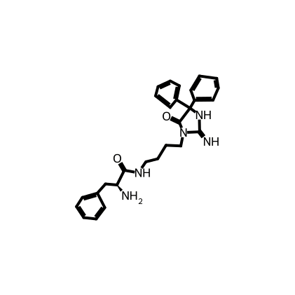 N=C1NC(c2ccccc2)(c2ccccc2)C(=O)N1CCCCNC(=O)[C@@H](N)Cc1ccccc1